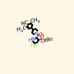 Cc1cc(C2=CCN(C(=O)[C@H]3NCC(F)(F)C[C@@H]3C(=O)OC(C)(C)C)CC2)cc(C)c1C#N